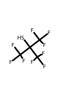 FC(F)(F)C(S)(C(F)(F)F)C(F)(F)F